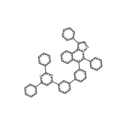 c1ccc(-c2cc(-c3cccc(-c4cccc(-c5c(-c6ccccc6)n6ncc(-c7ccccc7)c6c6ccccc56)c4)c3)nc(-c3ccccc3)n2)cc1